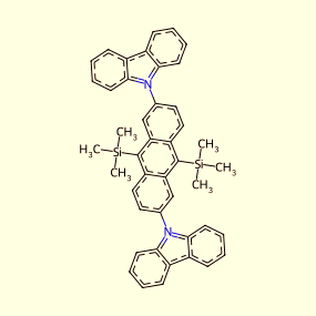 C[Si](C)(C)c1c2ccc(-n3c4ccccc4c4ccccc43)cc2c([Si](C)(C)C)c2ccc(-n3c4ccccc4c4ccccc43)cc12